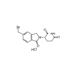 Cl.O=C1CCC(N2Cc3cc(CBr)ccc3C2=O)C(=O)N1